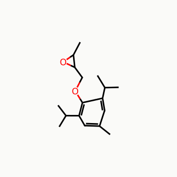 Cc1cc(C(C)C)c(OCC2OC2C)c(C(C)C)c1